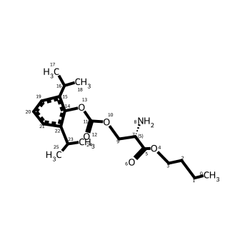 CCCCOC(=O)[C@@H](N)COC(=O)Oc1c(C(C)C)cccc1C(C)C